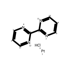 Cl.[Pt].c1cnc(-c2ncccn2)nc1